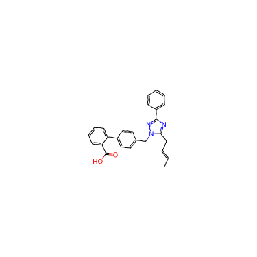 CC=CCc1nc(-c2ccccc2)nn1Cc1ccc(-c2ccccc2C(=O)O)cc1